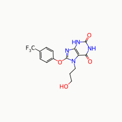 O=c1[nH]c(=O)c2c(nc(Oc3ccc(C(F)(F)F)cc3)n2CCCO)[nH]1